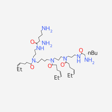 CC/C=C\CCC(=O)N(CCCCN(CCCN(CCCNC(=O)[C@@H](N)CCCC)C(=O)CC/C=C\CC)C(=O)CC/C=C\CC)CCCNC(=O)[C@@H](N)CCCN